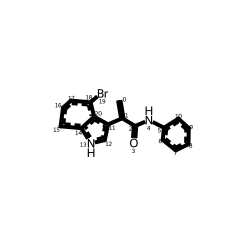 C=C(C(=O)Nc1ccccc1)c1c[nH]c2cccc(Br)c12